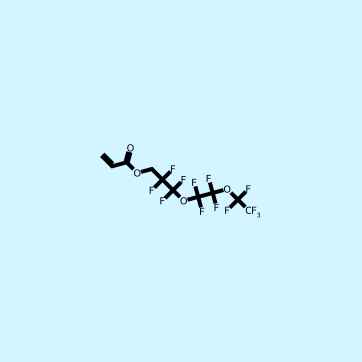 C=CC(=O)OCC(F)(F)C(F)(F)OC(F)(F)C(F)(F)OC(F)(F)C(F)(F)F